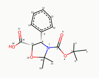 CC(C)(C)OC(=O)N1[C@@H](c2ccccc2)[C@@H](C(=O)O)OC1(C)C